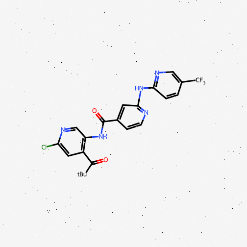 CC(C)(C)C(=O)c1cc(Cl)ncc1NC(=O)c1ccnc(Nc2ccc(C(F)(F)F)cn2)c1